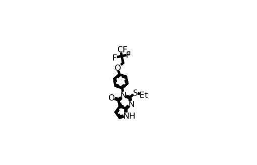 CCSc1nc2[nH]ccc2c(=O)n1-c1ccc(OCC(F)(F)C(F)(F)F)cc1